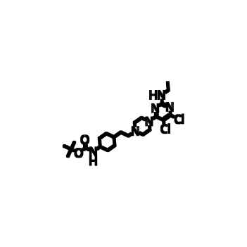 CCNc1nc(Cl)c(Cl)c(N2CCN(CCC3CCC(NC(=O)OC(C)(C)C)CC3)CC2)n1